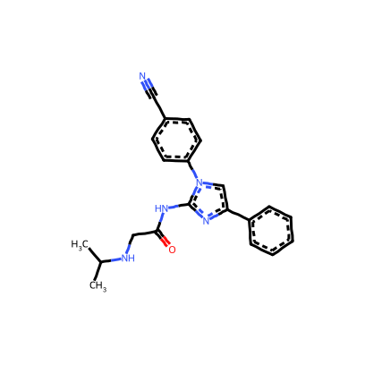 CC(C)NCC(=O)Nc1nc(-c2ccccc2)cn1-c1ccc(C#N)cc1